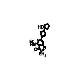 CCNc1nc(-c2ccc(C3(O)CCCC3)cc2)cc2ncn(C)c(=O)c12